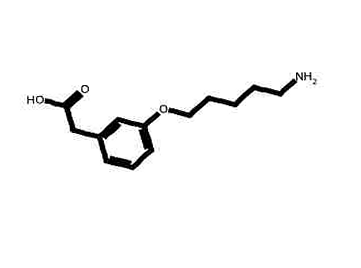 NCCCCCOc1cccc(CC(=O)O)c1